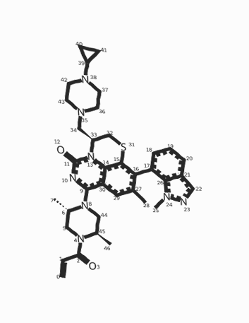 C=CC(=O)N1C[C@H](C)N(c2nc(=O)n3c4c(c(-c5cccc6cnn(C)c56)c(C)cc24)SC[C@@H]3CN2CCN(C3CC3)CC2)C[C@H]1C